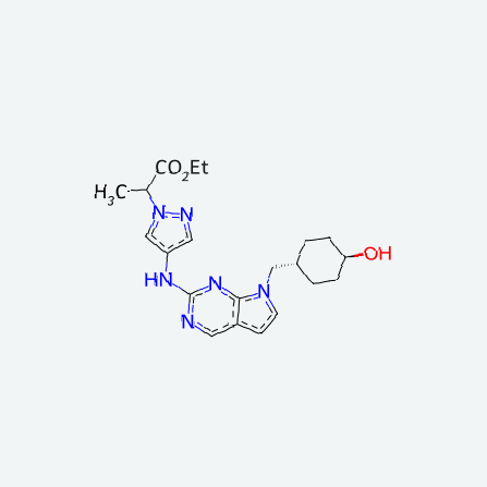 CCOC(=O)C(C)n1cc(Nc2ncc3ccn(C[C@H]4CC[C@H](O)CC4)c3n2)cn1